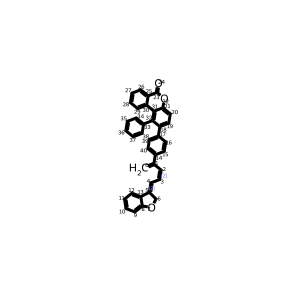 C=C(/C=C\C=C1/COc2ccccc21)c1ccc(-c2ccc3oc(=O)c4ccccc4c3c2-c2ccccc2)cc1